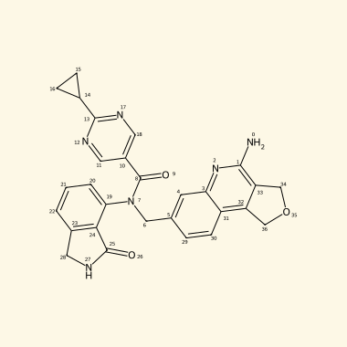 Nc1nc2cc(CN(C(=O)c3cnc(C4CC4)nc3)c3cccc4c3C(=O)NC4)ccc2c2c1COC2